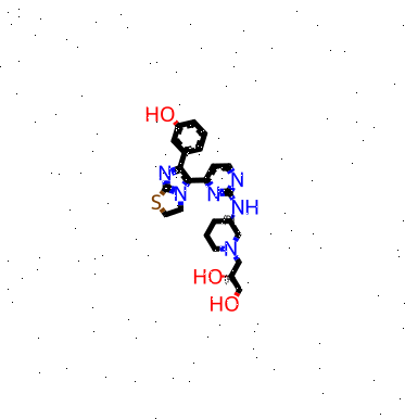 OC[C@H](O)CN1CCC[C@@H](Nc2nccc(-c3c(-c4cccc(O)c4)nc4n3CCS4)n2)C1